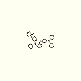 c1ccc(N(c2ccccc2)c2ccc3oc4c(N(c5ccccc5)c5ccc6sc7ccccc7c6c5)cccc4c3c2)cc1